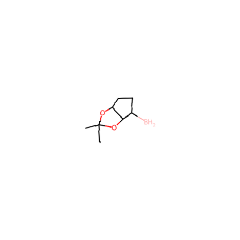 BC1CCC2OC(C)(C)OC12